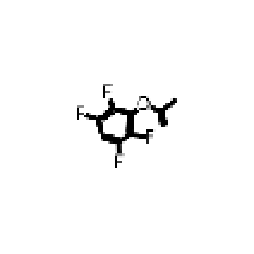 C=C(C)Oc1c(F)c(F)cc(F)c1F